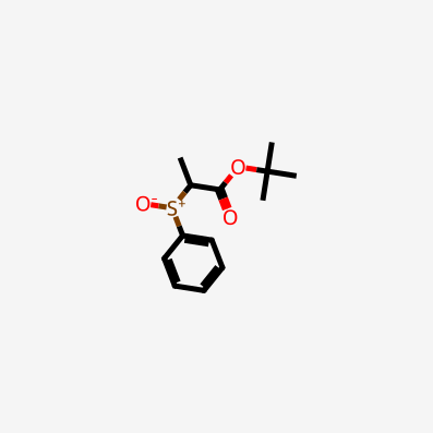 CC(C(=O)OC(C)(C)C)[S+]([O-])c1ccccc1